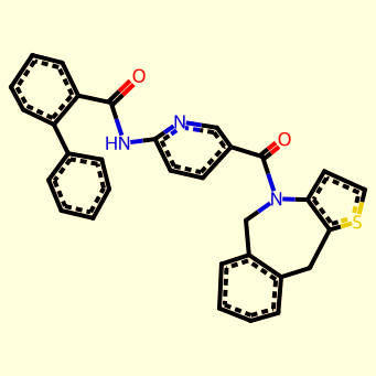 O=C(Nc1ccc(C(=O)N2Cc3ccccc3Cc3sccc32)cn1)c1ccccc1-c1ccccc1